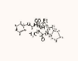 CCOC(=O)C(COc1ccccc1)N[C@@H](C)C(=O)N1C2CCCCC2C[C@H]1C(=O)O